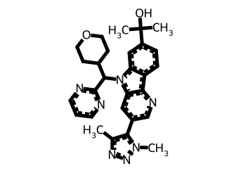 Cc1nnn(C)c1-c1cnc2c3ccc(C(C)(C)O)cc3n(C(c3ncccn3)C3CCOCC3)c2c1